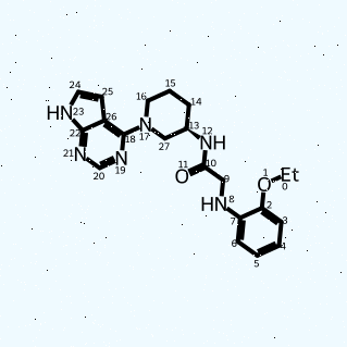 CCOc1ccccc1NCC(=O)N[C@@H]1CCCN(c2ncnc3[nH]ccc23)C1